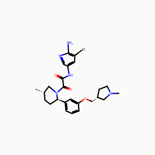 CCc1cc(NC(=O)C(=O)N2C[C@@H](C)CC[C@@H]2c2cccc(OC[C@@H]3CCN(C)C3)c2)cnc1N